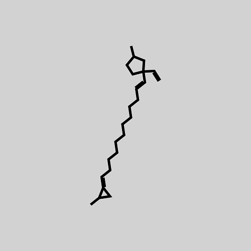 C=CC1(C=CCCCCCCCCCC=C2CC2C)CCC(C)C1